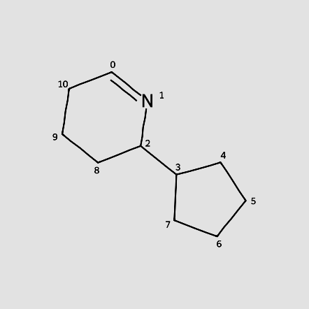 C1=NC(C2CCCC2)CCC1